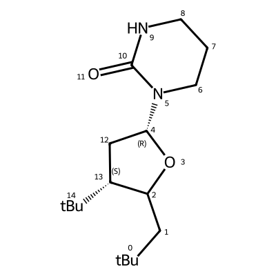 CC(C)(C)CC1O[C@@H](N2CCCNC2=O)C[C@H]1C(C)(C)C